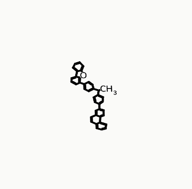 CC(c1ccc(-c2ccc3c(ccc4ccccc43)c2)cc1)c1ccc(-c2cccc3c2oc2ccccc23)cc1